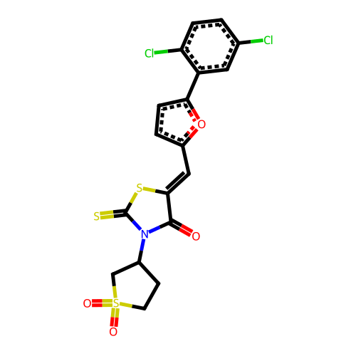 O=C1C(=Cc2ccc(-c3cc(Cl)ccc3Cl)o2)SC(=S)N1C1CCS(=O)(=O)C1